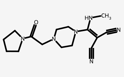 CNC(=C(C#N)C#N)N1CCN(CC(=O)N2CCCC2)CC1